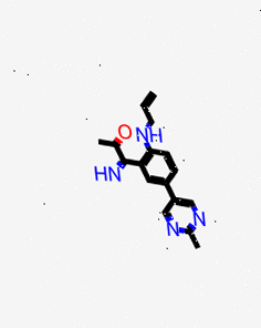 C=CCNc1ccc(-c2cnc(C)nc2)cc1C(=N)C(C)=O